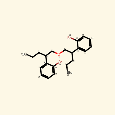 CC(C)(C)CCC(COCC(CCC(C)(C)C)c1ccccc1Br)c1ccccc1Br